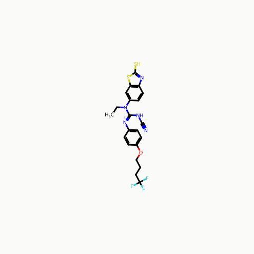 CCN(/C(=N/c1ccc(OCCCC(F)(F)F)cc1)NC#N)c1ccc2nc(S)sc2c1